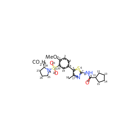 COc1ccc(-c2sc(NC(=O)C3CCCC3)nc2C)cc1S(=O)(=O)N1CCC[C@H]1C(=O)O